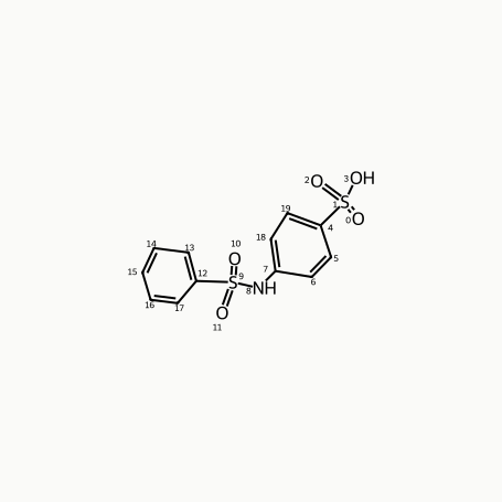 O=S(=O)(O)c1ccc(NS(=O)(=O)c2ccccc2)cc1